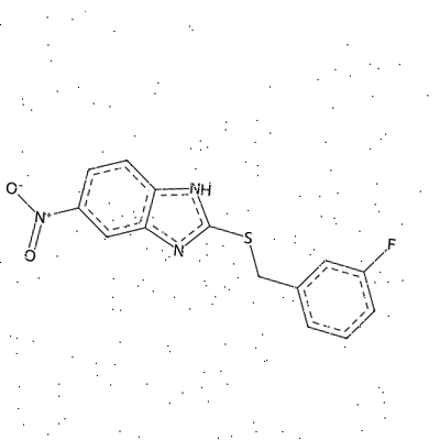 O=[N+]([O-])c1ccc2[nH]c(SCc3cccc(F)c3)nc2c1